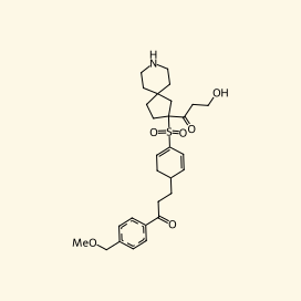 COCc1ccc(C(=O)CCC2C=CC(S(=O)(=O)C3(C(=O)CCO)CCC4(CCNCC4)C3)=CC2)cc1